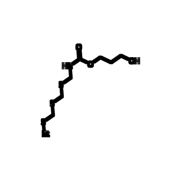 CCSCSCSCNC(=O)OCCCO